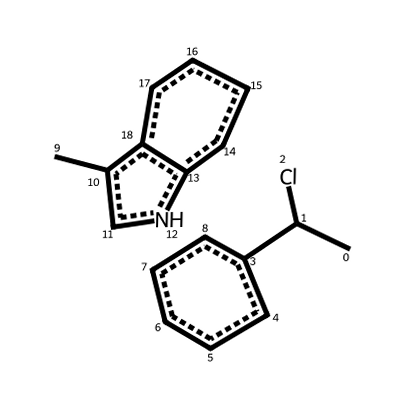 CC(Cl)c1ccccc1.Cc1c[nH]c2ccccc12